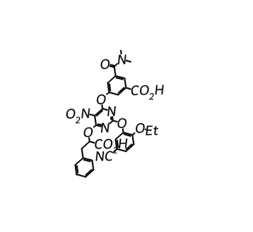 CCOc1ccc(C#N)cc1Oc1nc(Oc2cc(C(=O)O)cc(C(=O)N(C)C)c2)c([N+](=O)[O-])c(OC(Cc2ccccc2)C(=O)O)n1